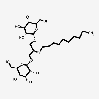 CCCCCCCCCCOC(CO[C@@H]1O[C@H](CO)[C@@H](O)[C@H](O)[C@H]1O)CO[C@H]1O[C@H](CO)[C@@H](O)[C@H](O)[C@H]1O